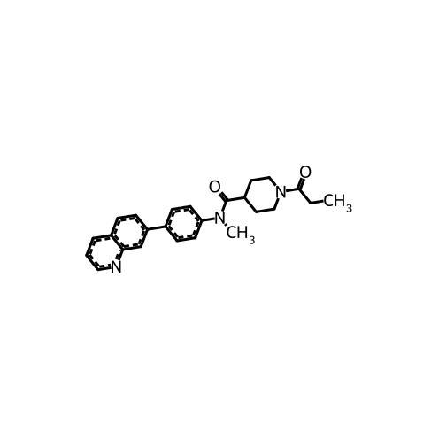 CCC(=O)N1CCC(C(=O)N(C)c2ccc(-c3ccc4cccnc4c3)cc2)CC1